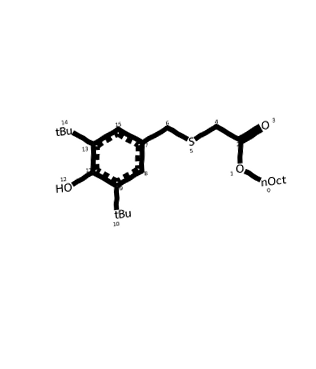 CCCCCCCCOC(=O)CSCc1cc(C(C)(C)C)c(O)c(C(C)(C)C)c1